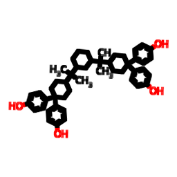 CC(C)(C1CCC(c2ccc(O)cc2)(c2ccc(O)cc2)CC1)C1CCCC(C(C)(C)C2CCC(c3ccc(O)cc3)(c3ccc(O)cc3)CC2)C1